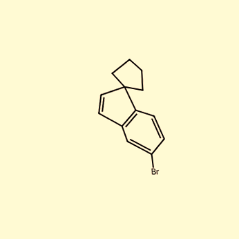 Brc1ccc2c(c1)C=CC21CCCC1